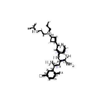 CCCN(CCNC(C)C)C1CC(C/C=C(\C=C/N)NC(/C=C(\N)c2cc(Cl)ccc2F)=C(/N)S)C1